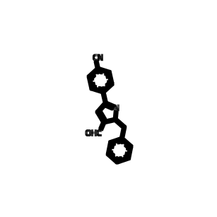 N#Cc1ccc(C2=NC(Cc3ccccc3)C(C=O)=C2)cc1